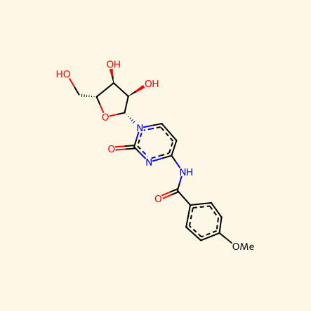 COc1ccc(C(=O)Nc2ccn([C@@H]3O[C@H](CO)[C@@H](O)[C@H]3O)c(=O)n2)cc1